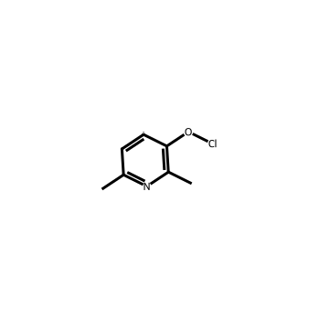 Cc1c[c]c(OCl)c(C)n1